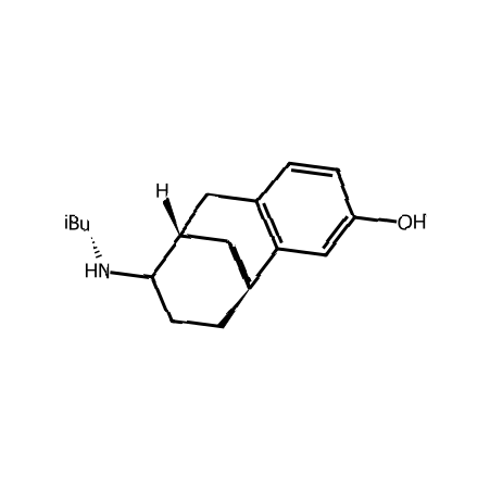 CC[C@@H](C)NC1CC[C@]23CCCCC2[C@H]1Cc1ccc(O)cc13